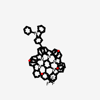 FC(F)(F)c1cccc(-c2c(-n3c4ccccc4c4ccccc43)c(-n3c4ccccc4c4ccccc43)c(-n3c4ccccc4c4cc(-c5ccc6c(c5)c5ccccc5n6-c5ccccc5)ccc43)c(-n3c4ccccc4c4ccccc43)c2-n2c3ccccc3c3ccccc32)c1